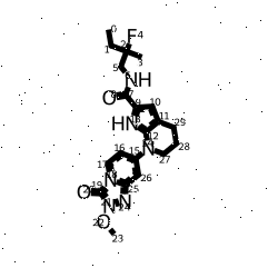 CCC(C)(F)CNC(=O)c1cc2c([nH]1)N(c1ccn3c(=O)n(OC)nc3c1)CCC2